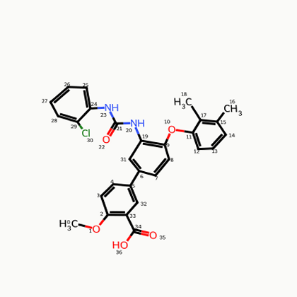 COc1ccc(-c2ccc(Oc3cccc(C)c3C)c(NC(=O)Nc3ccccc3Cl)c2)cc1C(=O)O